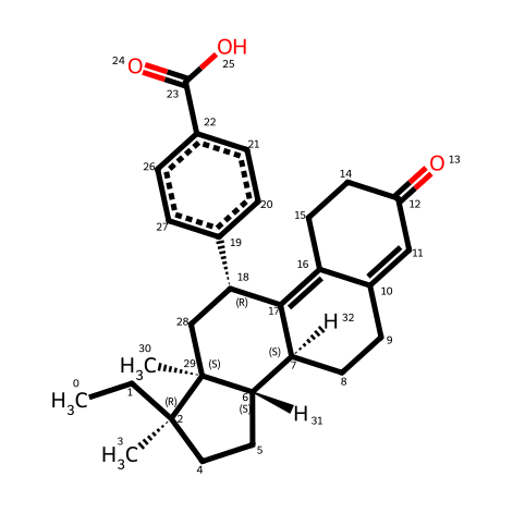 CC[C@]1(C)CC[C@H]2[C@@H]3CCC4=CC(=O)CCC4=C3[C@@H](c3ccc(C(=O)O)cc3)C[C@@]21C